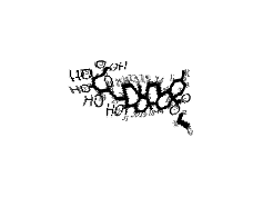 C=CCOC(=O)C12CCC(C)CC1C1=CCC3C(C)(CCC4C3(C)CCC(CC3OC(C(=O)O)C(O)C(O)C3O)[C@@]4(C)O)C1CC2